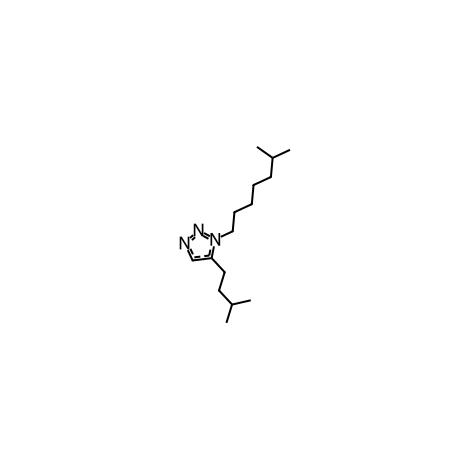 CC(C)CCCCCn1nncc1CCC(C)C